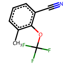 Cc1cccc(C#N)c1OC(F)(F)F